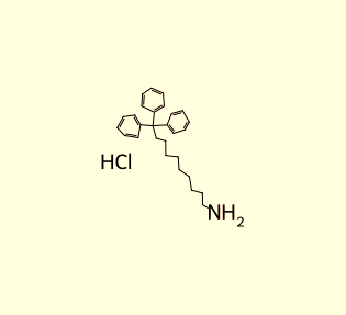 Cl.NCCCCCCCCCC(c1ccccc1)(c1ccccc1)c1ccccc1